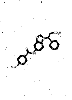 COc1ccc(C(=O)Nc2ccc3c(c2)ncn3C(CC(=O)O)c2ccccc2)cc1